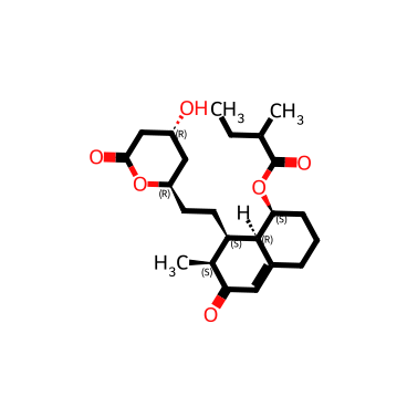 CCC(C)C(=O)O[C@H]1CCCC2=CC(=O)[C@@H](C)[C@@H](CC[C@@H]3C[C@@H](O)CC(=O)O3)[C@H]21